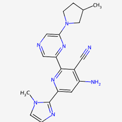 CC1CCN(c2cncc(-c3nc(-c4nccn4C)cc(N)c3C#N)n2)C1